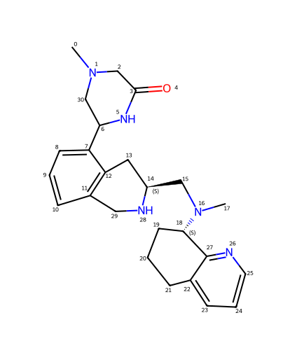 CN1CC(=O)NC(c2cccc3c2C[C@@H](CN(C)[C@H]2CCCc4cccnc42)NC3)C1